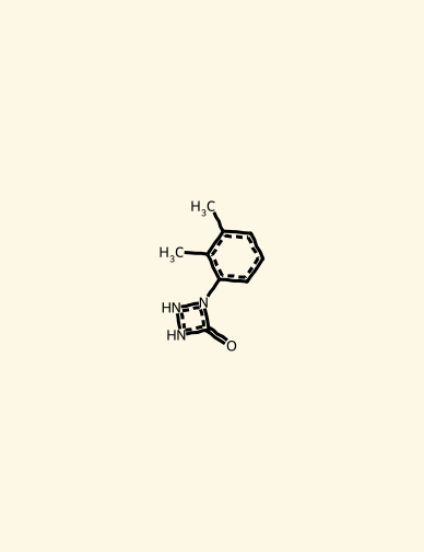 Cc1cccc(-n2[nH][nH]c2=O)c1C